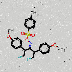 COc1ccc(C(CF)C(=NOS(=O)(=O)c2ccc(C)cc2)C(CF)c2ccc(OC)cc2)cc1